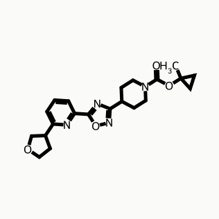 CC1(OC(=O)N2CCC(c3noc(-c4cccc(C5CCOC5)n4)n3)CC2)CC1